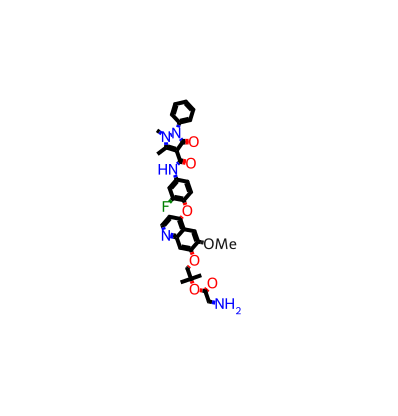 COc1cc2c(Oc3ccc(NC(=O)c4c(C)n(C)n(-c5ccccc5)c4=O)cc3F)ccnc2cc1OCC(C)(C)OC(=O)CN